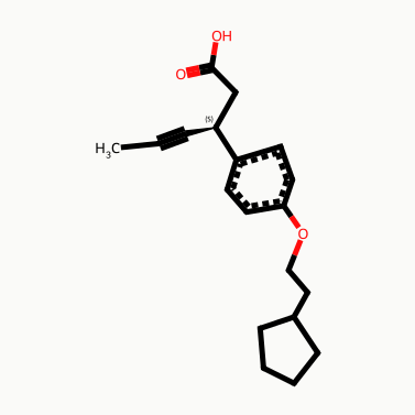 CC#C[C@@H](CC(=O)O)c1ccc(OCCC2CCCC2)cc1